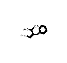 CCCCCCC=C(Cc1ccccc1)C(OC(C)=O)OC(C)=O